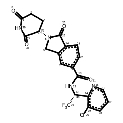 O=C1CC[C@H](N2Cc3cc(C(=O)N[C@H](c4ncccc4Cl)C(F)(F)F)ccc3C2=O)C(=O)N1